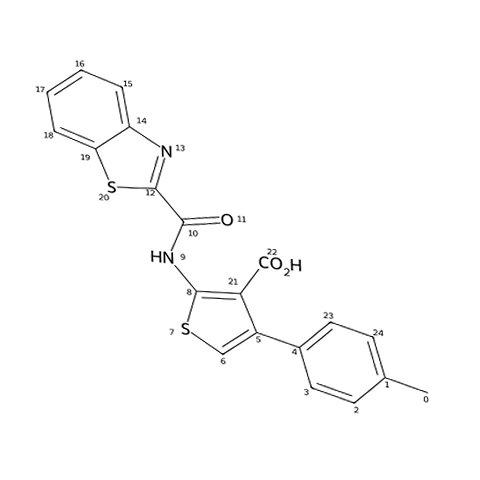 Cc1ccc(-c2csc(NC(=O)c3nc4ccccc4s3)c2C(=O)O)cc1